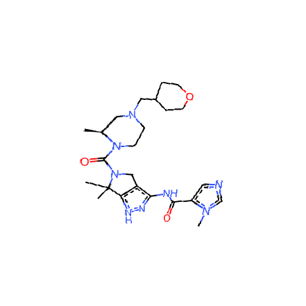 C[C@H]1CN(CC2CCOCC2)CCN1C(=O)N1Cc2c(NC(=O)c3cncn3C)n[nH]c2C1(C)C